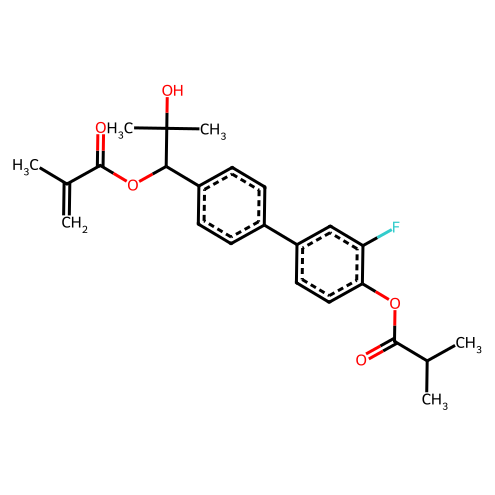 C=C(C)C(=O)OC(c1ccc(-c2ccc(OC(=O)C(C)C)c(F)c2)cc1)C(C)(C)O